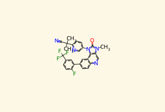 Cn1c(=O)n(-c2ccc(C(C)(C)C#N)nc2)c2c3cc(-c4cc(C(F)(F)F)ccc4F)ccc3ncc21